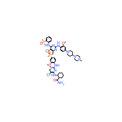 COc1cc(P(C)(=O)Cc2nc(Nc3ccc(N4CCC(N5CCN(C)CC5)CC4)cc3OC)nc(Nc3ccccc3P(C)(C)=O)c2Cl)ccc1Nc1ncc(Cl)c(NC2CCCCC2C(N)=O)n1